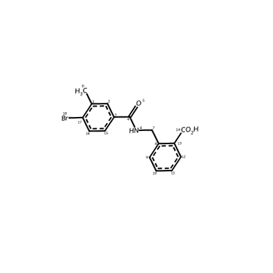 Cc1cc(C(=O)NCc2ccccc2C(=O)O)ccc1Br